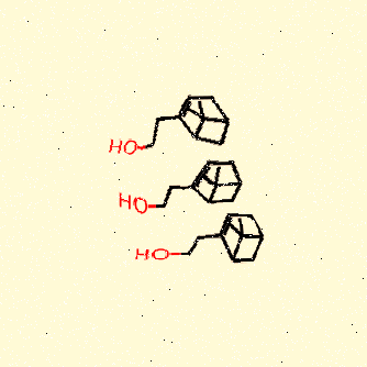 CC1(C)C2CC=C(CCO)C1C2.CC1(C)C2CC=C(CCO)C1C2.CC1(C)C2CC=C(CCO)C1C2